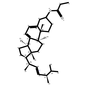 CCC(=O)OC1CC[C@@]2(C)C(=CC=C3[C@@H]4CC[C@H]([C@H](C)/C=C/[C@H](C)C(C)C)[C@@]4(C)CC[C@@H]32)C1